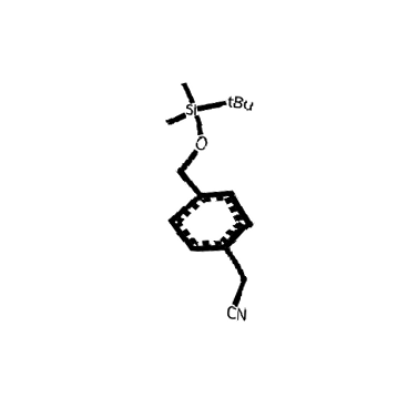 CC(C)(C)[Si](C)(C)OCc1ccc(CC#N)cc1